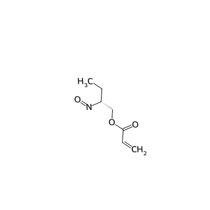 C=CC(=O)OC[C@@H](CC)N=O